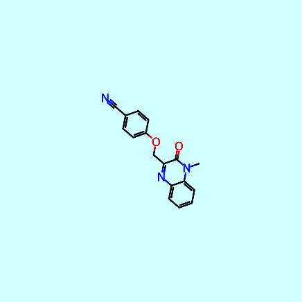 Cn1c(=O)c(COc2ccc(C#N)cc2)nc2ccccc21